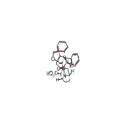 CCN(Cc1ccoc1)C(=O)N1[C@H]2CC[C@@H]1[C@@H](C(=O)O)N(C(=O)N(c1ccccc1)c1ccccc1)C2